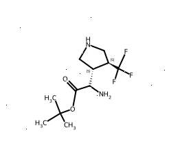 CC(C)(C)OC(=O)C(N)[C@@H]1CNC[C@H]1C(F)(F)F